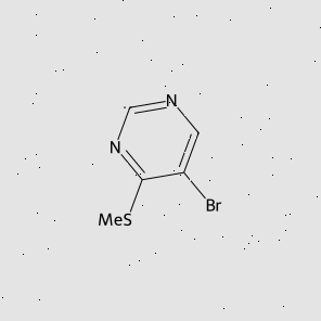 CSc1n[c]ncc1Br